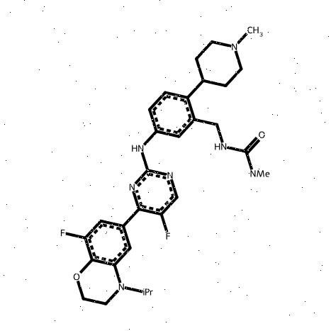 CNC(=O)NCc1cc(Nc2ncc(F)c(-c3cc(F)c4c(c3)N(C(C)C)CCO4)n2)ccc1C1CCN(C)CC1